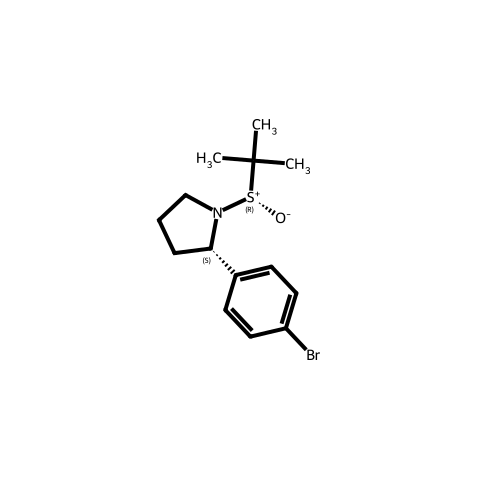 CC(C)(C)[S@+]([O-])N1CCC[C@H]1c1ccc(Br)cc1